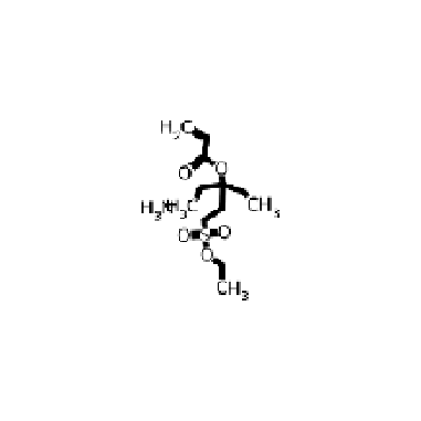 C=CC(=O)OC(CC)(CC)CCS(=O)(=O)OCC.N